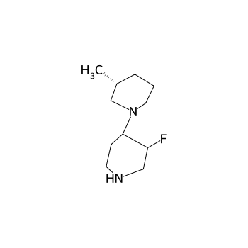 C[C@@H]1CCCN(C2CCNCC2F)C1